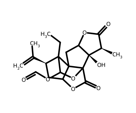 C=C(C)[C@@H]1CC2OC(=O)C34OC(OC=O)C1(CC)C23CC1OC(=O)[C@@H](C)[C@@]14O